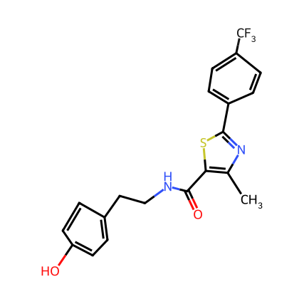 Cc1nc(-c2ccc(C(F)(F)F)cc2)sc1C(=O)NCCc1ccc(O)cc1